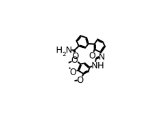 COc1cc(Nc2nc3cccc(-c4cccc(C(N)=O)c4)c3o2)cc(OC)c1OC